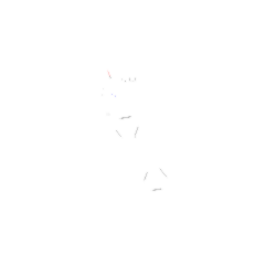 CC[C@@]1(C(=O)NC)CC[C@@H](c2ccc(OCc3ccccc3F)cc2)N1